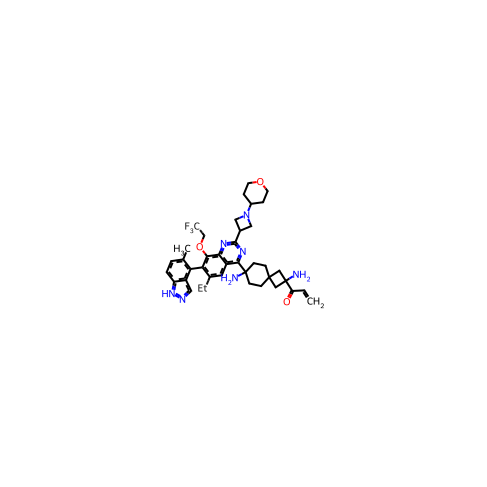 C=CC(=O)C1(N)CC2(CCC(N)(c3nc(C4CN(C5CCOCC5)C4)nc4c(OCC(F)(F)F)c(-c5c(C)ccc6[nH]ncc56)c(CC)cc34)CC2)C1